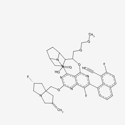 C#Cc1c(F)ccc2cccc(-c3nc4c5c(nc(OCC67CC(=C)CN6C[C@H](F)C7)nc5c3F)N3CC5CCC(C3C(COCOC)O4)N5C(=O)O)c12